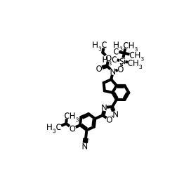 CCOC(=O)N(O[Si](C)(C)C(C)(C)C)C1CCc2c(-c3noc(-c4ccc(OC(C)C)c(C#N)c4)n3)cccc21